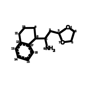 NC(CC1OCCO1)C1CCCc2ccccc21